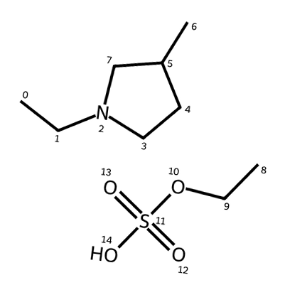 CCN1CCC(C)C1.CCOS(=O)(=O)O